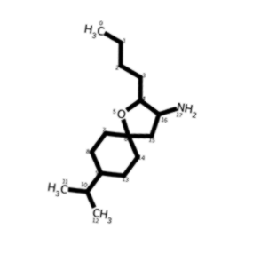 CCCCC1OC2(CCC(C(C)C)CC2)CC1N